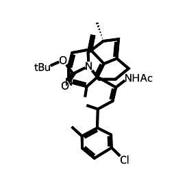 C=C1C=CN=C(C)C(C(=C\C(C)c2cc(Cl)ccc2C)/NC(C)=O)=C1/C1=C\[C@@H](C)CN(C(=O)OC(C)(C)C)CCC1